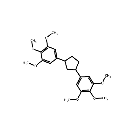 COc1cc(C2CCC(c3cc(OC)c(OC)c(OC)c3)C2)cc(OC)c1OC